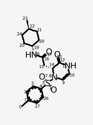 Cc1ccc(S(=O)(=O)N2C=CNC(=O)[C@H]2CC(=O)N[C@H]2CC[C@H](C)CC2)cc1